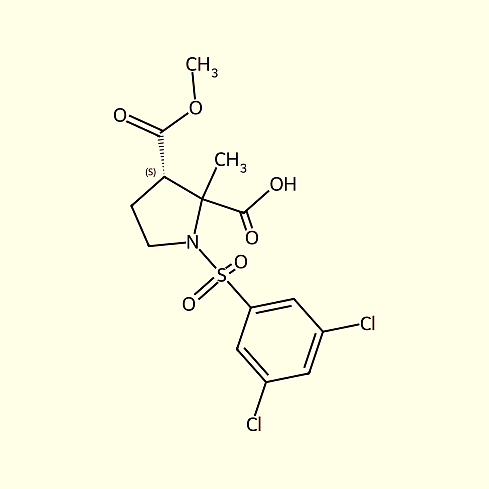 COC(=O)[C@H]1CCN(S(=O)(=O)c2cc(Cl)cc(Cl)c2)C1(C)C(=O)O